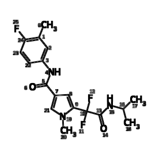 Cc1cc(NC(=O)c2cc(C(F)(F)C(=O)NC(C)C)n(C)c2)ccc1F